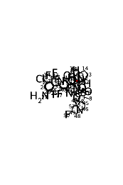 CC[C@@H](OS(=O)(=O)CC)C(=O)N1[C@@H]2CC[C@H]1[C@H]1[C@H](C)Oc3nc(-c4c(F)c(N)cc(Cl)c4C(F)(F)F)c(F)c4nc(OC[C@@]56CCCN5C[C@H](F)C6)nc(c34)N1C2